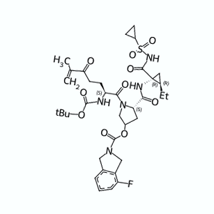 C=C(C)C(=O)CC[C@H](NC(=O)OC(C)(C)C)C(=O)N1CC(OC(=O)N2Cc3cccc(F)c3C2)C[C@H]1C(=O)N[C@]1(C(=O)NS(=O)(=O)C2CC2)C[C@H]1CC